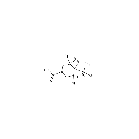 [2H]C1([2H])CN(C(N)=O)CC([2H])([2H])C1([2H])C(C)(C)C